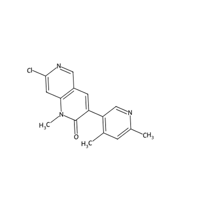 Cc1cc(C)c(-c2cc3cnc(Cl)cc3n(C)c2=O)cn1